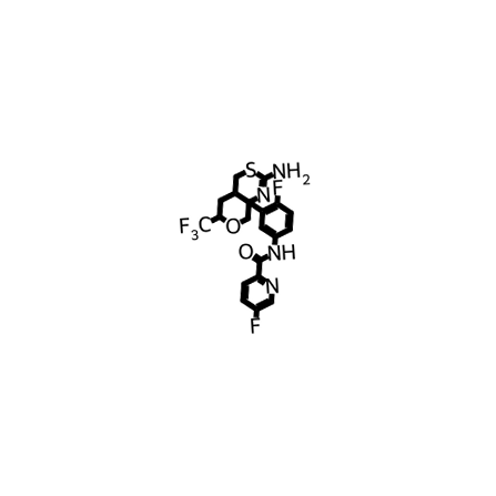 NC1=NC2(c3cc(NC(=O)c4ccc(F)cn4)ccc3F)COC(C(F)(F)F)CC2CS1